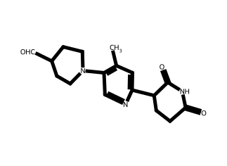 Cc1cc(C2CCC(=O)NC2=O)ncc1N1CCC(C=O)CC1